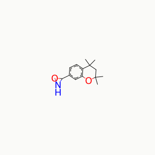 CC1(C)CC(C)(C)c2ccc(C3NO3)cc2O1